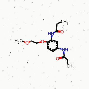 CCC(=O)Nc1ccc(OCCOC)c(NC(=O)CC)c1